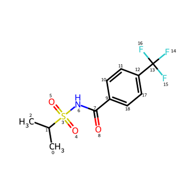 CC(C)S(=O)(=O)NC(=O)c1ccc(C(F)(F)F)cc1